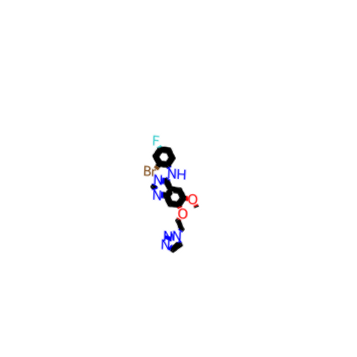 COc1cc2c(Nc3ccc(F)cc3Br)ncnc2cc1OCCn1ccnn1